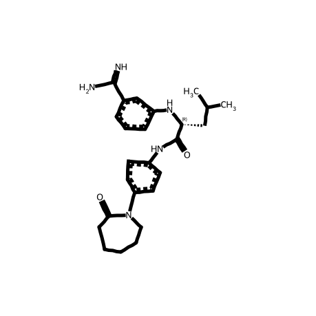 CC(C)C[C@@H](Nc1cccc(C(=N)N)c1)C(=O)Nc1ccc(N2CCCCCC2=O)cc1